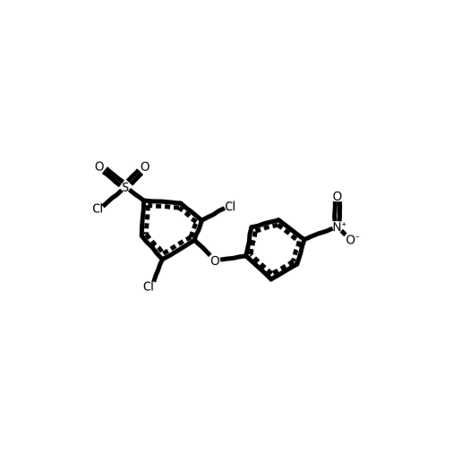 O=[N+]([O-])c1ccc(Oc2c(Cl)cc(S(=O)(=O)Cl)cc2Cl)cc1